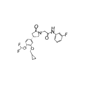 O=C(CN1C[C@H](c2ccc(OC(F)F)c(OCC3CC3)c2)CC1=O)Nc1cccc(F)c1